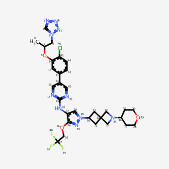 CC(Cn1cnnn1)Oc1cc(-c2cnc(Nc3cn(C4CC5(C4)CN(C4CCOCC4)C5)nc3OCC(F)(F)F)nc2)ccc1Cl